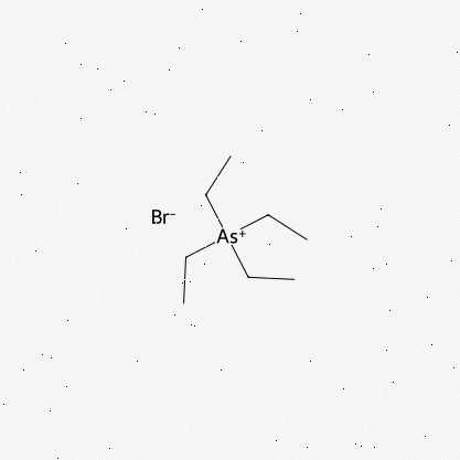 CC[As+](CC)(CC)CC.[Br-]